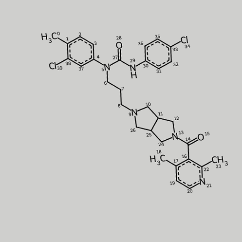 Cc1ccc(N(CCCN2CC3CN(C(=O)c4c(C)ccnc4C)CC3C2)C(=O)Nc2ccc(Cl)cc2)cc1Cl